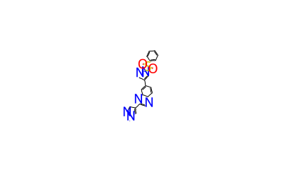 Cn1cc(-c2cnc3ccc(-c4cnn(S(=O)(=O)c5ccccc5)c4)cc3n2)cn1